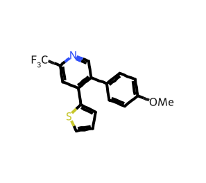 COc1ccc(-c2cnc(C(F)(F)F)cc2-c2cccs2)cc1